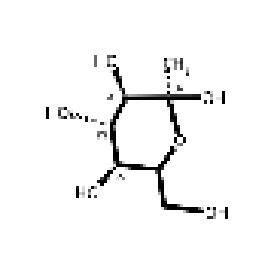 C[C@]1(O)OC(CO)[C@@H](O)[C@H](O)[C@H]1O